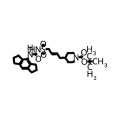 CC(C)(C)OC(=O)N1CCC(C/C=C/CS(=O)(=O)NC(=O)Nc2c3c(cc4c2CCC4)CCC3)CC1